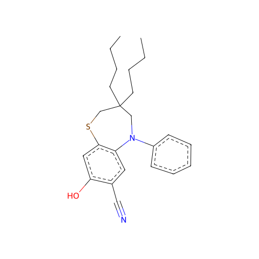 CCCCC1(CCCC)CSc2cc(O)c(C#N)cc2N(c2ccccc2)C1